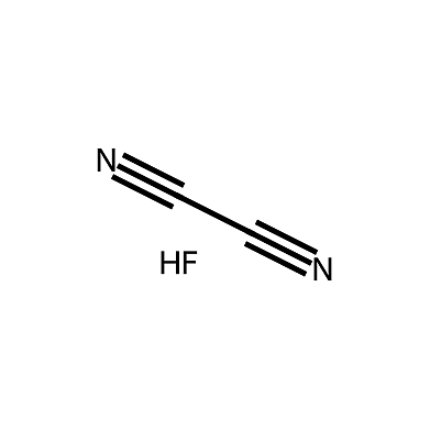 F.N#CC#N